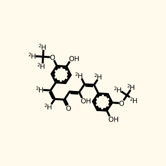 [2H]C(C(=O)C=C(O)C([2H])=C([2H])c1ccc(O)c(OC([2H])([2H])[2H])c1)=C([2H])c1ccc(O)c(OC([2H])([2H])[2H])c1